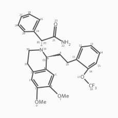 COc1cc2c(cc1OC)[C@H](CCc1ccccc1OC(F)(F)F)N([C@@H](C(N)=O)c1ccccc1)CC2